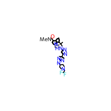 CC[C@@](C)(CNc1cc(-c2cnc(N(C)C3CCN(CC(F)F)CC3)nc2)ncn1)c1cccc2c(C(=O)NC)ccnc12